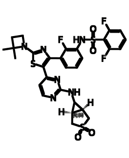 CC1(C)CCN1c1nc(-c2cccc(NS(=O)(=O)c3c(F)cccc3F)c2F)c(-c2ccnc(NC3[C@H]4CS(=O)(=O)C[C@@H]34)n2)s1